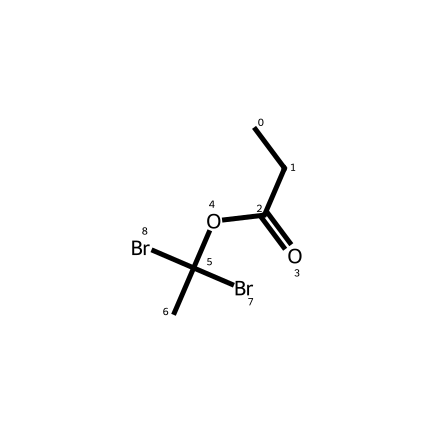 CCC(=O)OC(C)(Br)Br